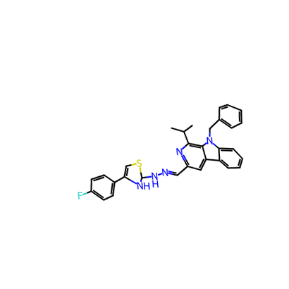 CC(C)c1nc(C=NNC2NC(c3ccc(F)cc3)=CS2)cc2c3ccccc3n(Cc3ccccc3)c12